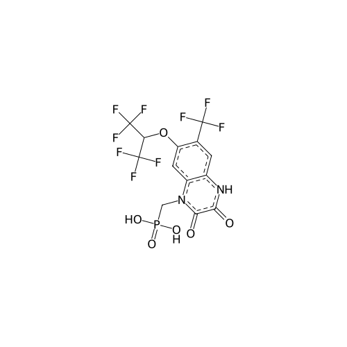 O=c1[nH]c2cc(C(F)(F)F)c(OC(C(F)(F)F)C(F)(F)F)cc2n(CP(=O)(O)O)c1=O